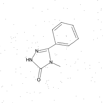 Cn1c(-c2ccccc2)n[nH]c1=O